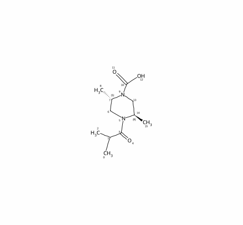 CC(C)C(=O)N1C[C@H](C)N(C(=O)O)C[C@H]1C